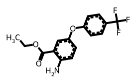 CCOC(=O)c1cc(Oc2ccc(C(F)(F)F)cc2)ccc1N